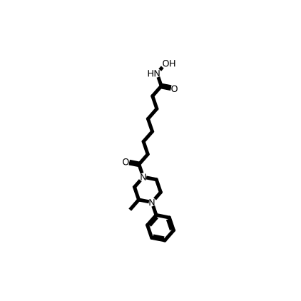 CC1CN(C(=O)CCCCCCC(=O)NO)CCN1c1ccccc1